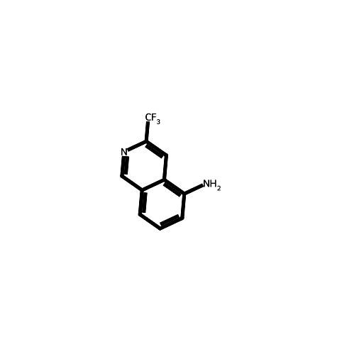 Nc1cccc2cnc(C(F)(F)F)cc12